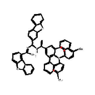 C=C(NC(/N=C(\N)c1cccc2oc3ccccc3c12)c1ccc2c(c1)oc1ccccc12)c1cc(-c2ccccc2)c(N(c2ccc(C(C)(C)C)cc2)c2ccc(C(C)(C)C)cc2I)c(-c2ccccc2)c1